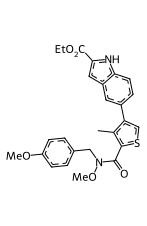 CCOC(=O)c1cc2cc(-c3csc(C(=O)N(Cc4ccc(OC)cc4)OC)c3C)ccc2[nH]1